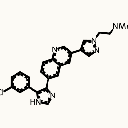 CNCCn1cc(-c2cnc3ccc(-c4nc[nH]c4-c4cccc(Cl)c4)cc3c2)cn1